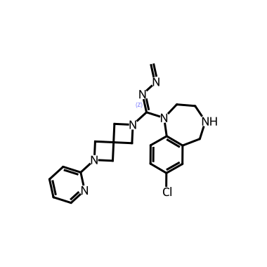 C=N/N=C(/N1CC2(C1)CN(c1ccccn1)C2)N1CCNCc2cc(Cl)ccc21